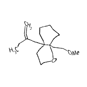 C=C(C)C12CCCC1(OC)OCC2